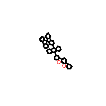 c1ccc2c(c1)-c1ccccc1C21c2ccccc2-c2ccc(-c3c4ccccc4c(-c4ccc5oc6c(ccc7c8ccccc8oc76)c5c4)c4ccccc34)cc21